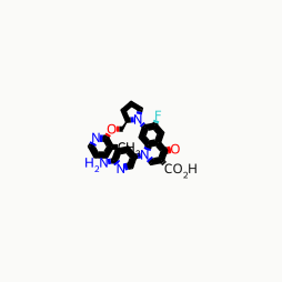 Cc1cccnc1OC[C@H]1CCCN1c1cc2c(cc1F)c(=O)c(C(=O)O)cn2-c1ccc(N)nc1